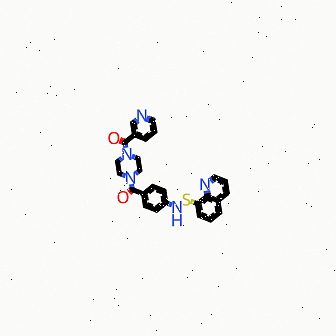 O=C(c1ccc(NSc2cccc3cccnc23)cc1)N1CCN(C(=O)c2cccnc2)CC1